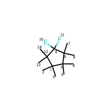 CC1(C)C(C)(C)C(C)(C)C(F)(F)C1(C)C